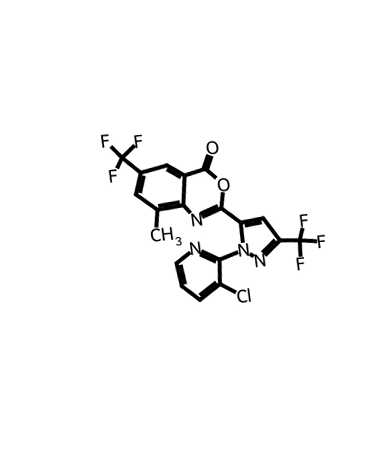 Cc1cc(C(F)(F)F)cc2c(=O)oc(-c3cc(C(F)(F)F)nn3-c3ncccc3Cl)nc12